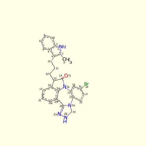 Cc1[nH]c2ccccc2c1CCCC1C(=O)N2c3cc(Br)ccc3N3CNN=C3c3cccc1c32